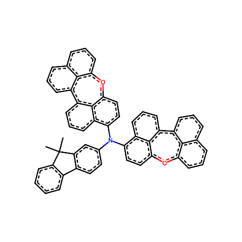 CC1(C)c2ccccc2-c2ccc(N(c3ccc4oc5cccc6cccc(c7cccc3c47)c65)c3ccc4oc5cccc6cccc(c7cccc3c47)c65)cc21